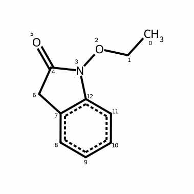 CCON1C(=O)Cc2ccccc21